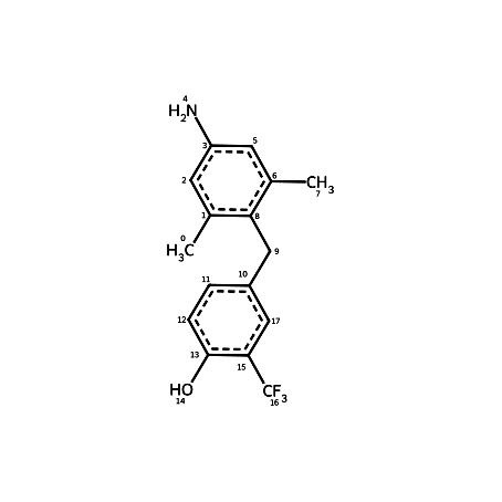 Cc1cc(N)cc(C)c1Cc1ccc(O)c(C(F)(F)F)c1